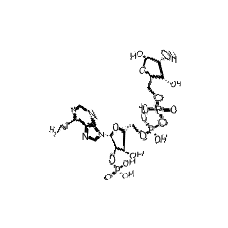 Nc1ncnc2c1ncn2[C@@H]1O[C@H](COP(=O)(O)OP(=O)(O)OC[C@H]2O[C@@H](O)[C@H](O)[C@@H]2O)[C@@H](O)[C@H]1OP(=O)(O)O